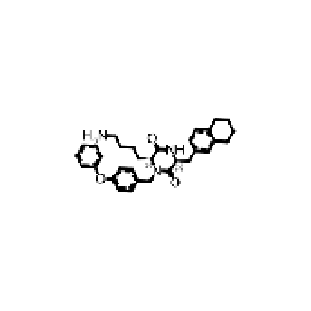 NCCCC[C@H]1C(=O)N[C@@H](Cc2ccc3c(c2)CCCC3)C(=O)N1Cc1ccc(Oc2ccccc2)cc1